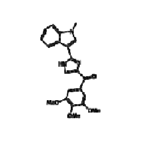 COc1cc(C(=O)c2c[nH]c(-c3cn(C)c4ccccc34)n2)cc(OC)c1OC